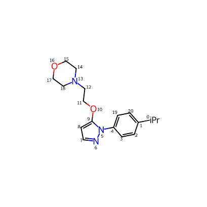 CC(C)c1ccc(-n2nccc2OCCN2CCOCC2)cc1